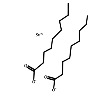 CCCCCCCCC(=O)[O-].CCCCCCCCC(=O)[O-].[Sn+2]